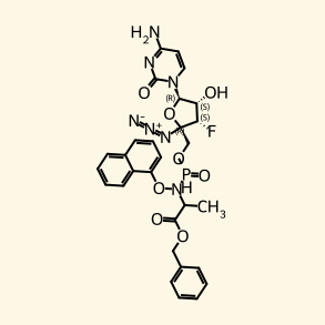 CC(C(=O)OCc1ccccc1)N(Oc1cccc2ccccc12)[PH](=O)OC[C@@]1(N=[N+]=[N-])O[C@@H](n2ccc(N)nc2=O)[C@H](O)[C@@H]1F